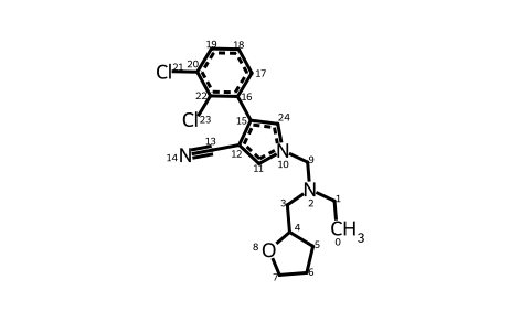 CCN(CC1CCCO1)Cn1cc(C#N)c(-c2cccc(Cl)c2Cl)c1